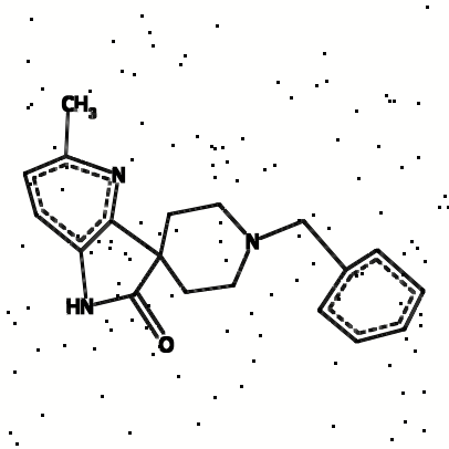 Cc1ccc2c(n1)C1(CCN(Cc3ccccc3)CC1)C(=O)N2